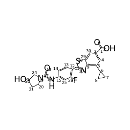 O=C(O)c1cc(C2CC2)c2nc(-c3ccc(NC(=O)N4CCC(O)C4)cc3F)sc2c1